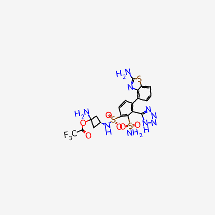 Nc1nc2c(-c3ccc(S(=O)(=O)N[C@H]4C[C@](N)(OC(=O)C(F)(F)F)C4)c(S(N)(=O)=O)c3-c3nnn[nH]3)cccc2s1